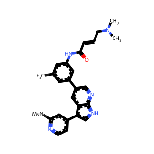 CNc1cc(-c2c[nH]c3ncc(-c4cc(NC(=O)C=CCN(C)C)cc(C(F)(F)F)c4)cc23)ccn1